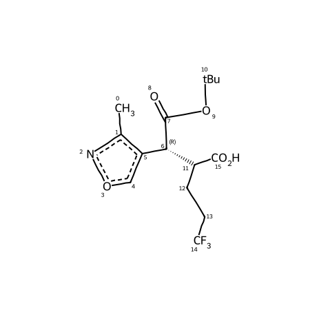 Cc1nocc1[C@H](C(=O)OC(C)(C)C)C(CCC(F)(F)F)C(=O)O